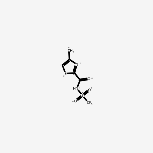 Cc1csc(C(=O)NS(=O)(=O)C(F)(F)F)n1